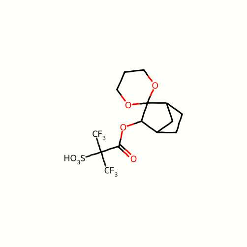 O=C(OC1C2CCC(C2)C12OCCCO2)C(C(F)(F)F)(C(F)(F)F)S(=O)(=O)O